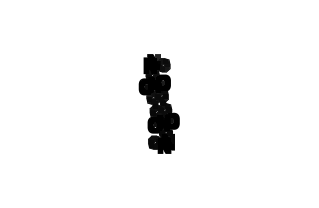 O=C1c2ccc3c4ccc5c6c(ccc(c7ccc(c2c37)C(=O)N1c1ccc(/N=N\c2ccccc2)cc1)c64)C(=O)N(c1ccc(/N=N\c2ccccc2)cc1)C5=O